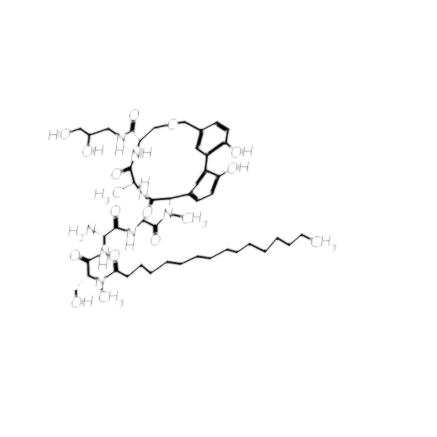 CCCCCCCCCCCCCCCC(=O)N(C)[C@H](CO)C(=O)N[C@H](N)C(=O)NCC(=O)N(C)[C@@H]1C(=O)N[C@@H](C)C(=O)N[C@H](C(=O)NCC(O)CO)CCCc2ccc(O)c(c2)-c2cc1ccc2O